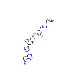 COCCNCc1cc(F)cc(OC2CCN(CC(CC#N)n3cc(-c4ncnc5[nH]ccc45)cn3)CC2)c1